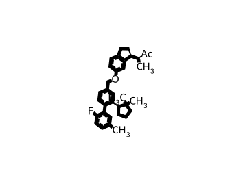 CC(=O)[C@H](C)[C@@H]1CCc2ccc(OCc3ccc(-c4cc(C)ccc4F)c([C@@H]4CCCC4(C)C)c3)cc21